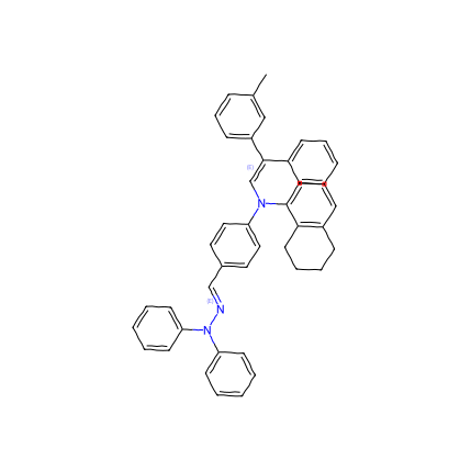 Cc1cccc(/C(=C/N(c2ccc(/C=N/N(c3ccccc3)c3ccccc3)cc2)c2cccc3c2CCCC3)c2ccccc2)c1